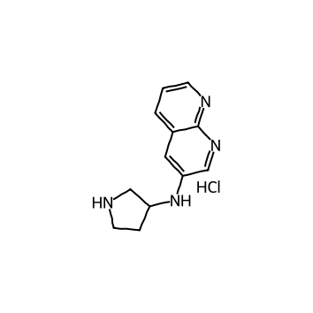 Cl.c1cnc2ncc(NC3CCNC3)cc2c1